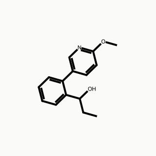 CCC(O)c1ccccc1-c1ccc(OC)nc1